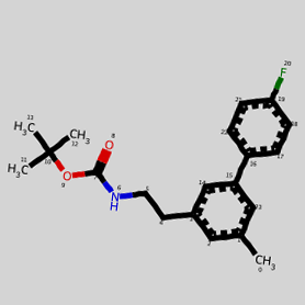 Cc1cc(CCNC(=O)OC(C)(C)C)cc(-c2ccc(F)cc2)c1